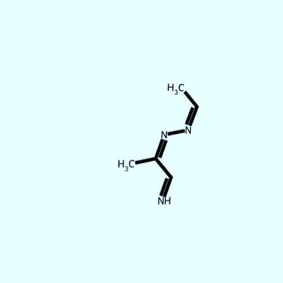 C/C=N\N=C(\C)C=N